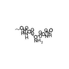 CCCc1cccc2c1C[C@H]1CNc3cc(OCc4cc(N)cc(COc5cc6c(cc5OC)C(=O)N5c7ccccc7C[C@H]5C=N6)c4)c(OC)cc3C(=O)N21